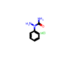 Cl.NC(=O)N(N)c1ccccc1